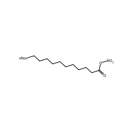 CCCCCCCCCCCCCCCCCCCC(=O)O[N+](=O)[O-]